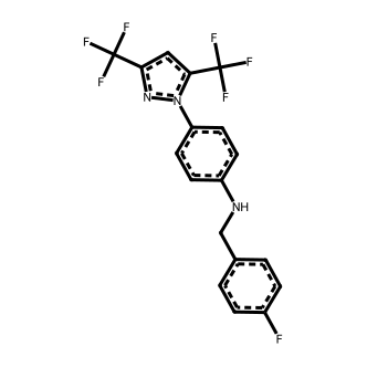 Fc1ccc(CNc2ccc(-n3nc(C(F)(F)F)cc3C(F)(F)F)cc2)cc1